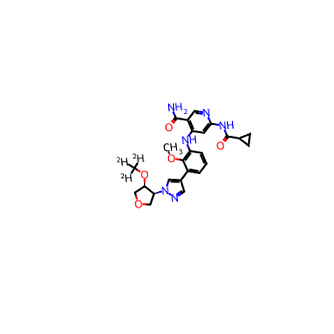 [2H]C([2H])([2H])O[C@@H]1COC[C@@H]1n1cc(-c2cccc(Nc3cc(NC(=O)C4CC4)ncc3C(N)=O)c2OC)cn1